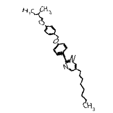 CCCCCCCCc1cnc(-c2ccc(OCc3ccc(OCC(C)CC)cc3)cc2)nc1